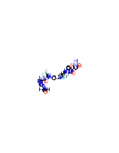 Cn1c(=O)n(C2CCC(=O)NC2=O)c2cccc(N3CC(C4CCN(C[C@H]5CC[C@H](n6cc(NC(=O)c7cnn8ccc(N9C[C@H]%10C[C@@H]9CO%10)nc78)c(C(F)F)n6)CC5)CC4(F)F)C3)c21